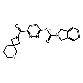 O=C(Nc1ccc(C(=O)N2CC3(CCCNC3)C2)nn1)N1Cc2ccccc2C1